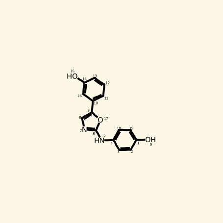 Oc1ccc(Nc2ncc(-c3cccc(O)c3)o2)cc1